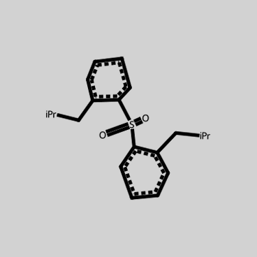 CC(C)Cc1ccccc1S(=O)(=O)c1ccccc1CC(C)C